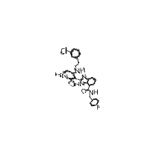 O=C(NCc1ccc(F)cc1)c1cccc2nc(-c3c(NCCc4cccc(Cl)c4)cc[nH]c3=O)[nH]c12